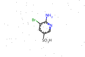 Nc1ncc(S(=O)(=O)O)cc1Br